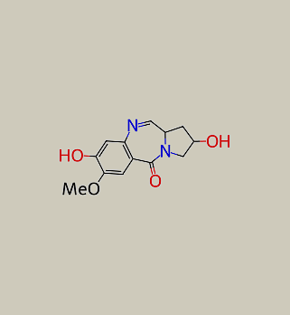 COc1cc2c(cc1O)N=CC1CC(O)CN1C2=O